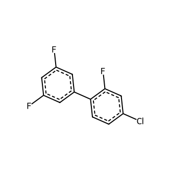 Fc1cc(F)cc(-c2ccc(Cl)cc2F)c1